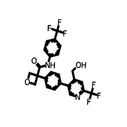 O=C(Nc1ccc(C(F)(F)F)cc1)C1(c2ccc(-c3cnc(C(F)(F)F)cc3CO)cc2)COC1